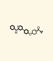 O=C(C1CC1)N1CCC(Oc2ccc(-c3ccnc(Nc4ccccc4)c3)cc2)CC1